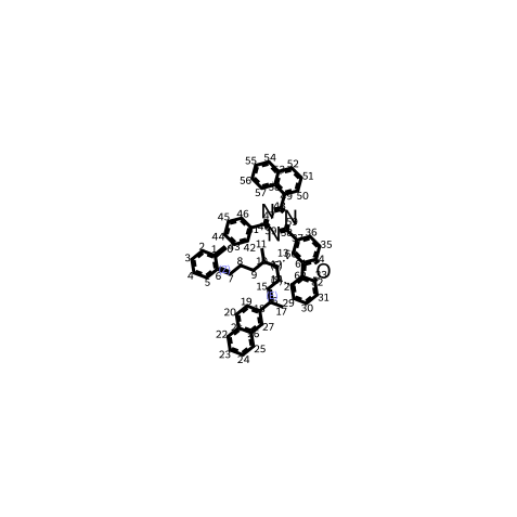 C=c1cccc/c1=C/CCC(C)[C@H](C)[C@@H](/C=C(\C)c1ccc2ccccc2c1)c1cccc2oc3ccc(-c4nc(-c5ccccc5)nc(-c5cccc6ccccc56)n4)cc3c12